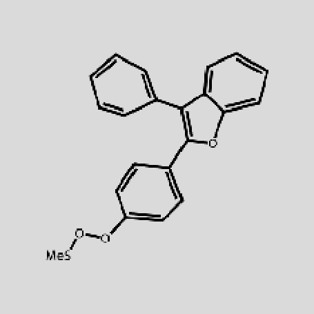 CSOOc1ccc(-c2oc3ccccc3c2-c2ccccc2)cc1